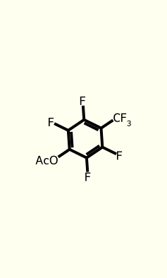 CC(=O)Oc1c(F)c(F)c(C(F)(F)F)c(F)c1F